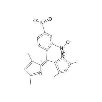 CC1=CC(C)=N/C1=C(/c1ccc([N+](=O)[O-])cc1[N+](=O)[O-])c1[nH]c(C)cc1C